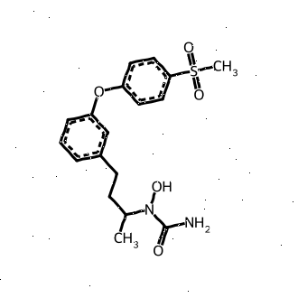 CC(CCc1cccc(Oc2ccc(S(C)(=O)=O)cc2)c1)N(O)C(N)=O